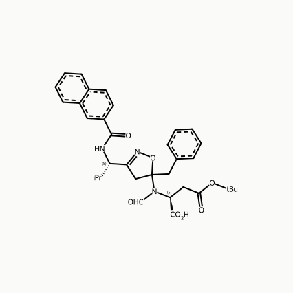 CC(C)[C@H](NC(=O)c1ccc2ccccc2c1)C1=NOC(Cc2ccccc2)(N(C=O)[C@@H](CC(=O)OC(C)(C)C)C(=O)O)C1